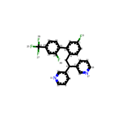 Fc1ccc(CC(c2cccnc2)c2cccnc2)c(-c2ccc(C(F)(F)F)cc2F)c1